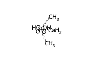 CCCCCCCCC(CCCCCCCC)(C(=O)O)C(=O)O.[CaH2]